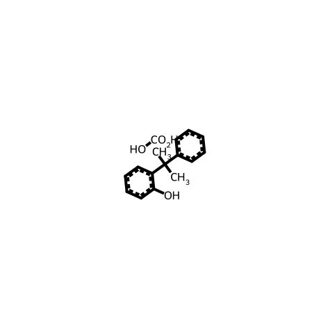 CC(C)(c1ccccc1)c1ccccc1O.O=C(O)O